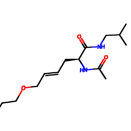 CCCOC/C=C/C[C@H](NC(C)=O)C(=O)NCC(C)C